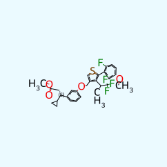 COC(=O)C[C@H](c1cccc(OCc2csc(-c3cc(OC)ccc3F)c2C(C)C(F)(F)F)c1)C1CC1